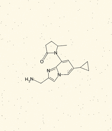 CC1CCC(=O)N1c1cc(C2CC2)cn2cc(CN)nc12